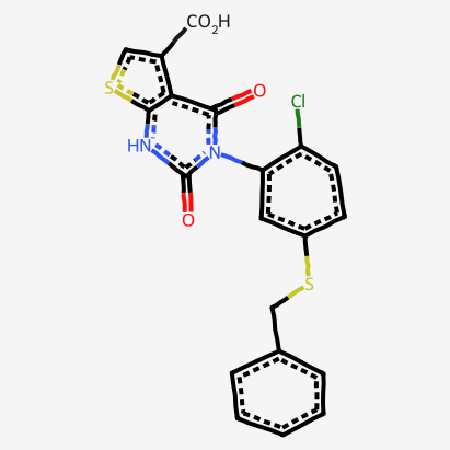 O=C(O)c1csc2[nH]c(=O)n(-c3cc(SCc4ccccc4)ccc3Cl)c(=O)c12